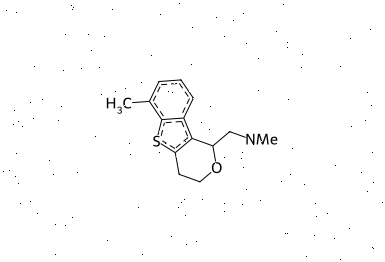 CNCC1OCCc2sc3c(C)cccc3c21